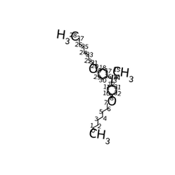 CCCCCCCCOc1ccc([I+](CC)c2ccc(OCCCCCCCC)cc2)cc1